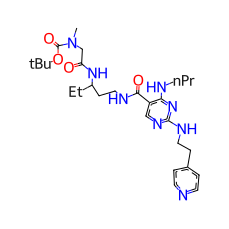 CCCNc1nc(NCCc2ccncc2)ncc1C(=O)NCCC(CC)NC(=O)CN(C)C(=O)OC(C)(C)C